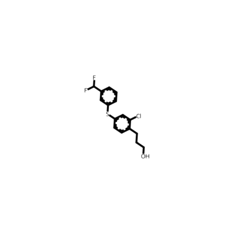 OCCCc1ccc(Sc2cccc(C(F)F)c2)cc1Cl